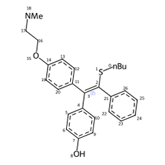 CCCCS/C(=C(/c1ccc(O)cc1)c1ccc(OCCNC)cc1)c1ccccc1